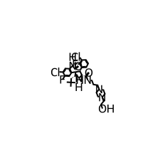 CC(C)(C)C[C@H]1N[C@@H](C(=O)NCCCN2CCN(CCO)CC2)[C@H](c2cccc(Cl)c2F)[C@@]12C(=O)Nc1cc(Cl)c(F)cc12